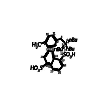 CCCC[N+](CCCC)(CCCC)Cc1ccc(C)cc1.O=S(=O)(O)c1cccc2c(S(=O)(=O)O)cccc12